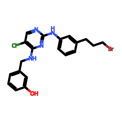 Oc1cccc(CNc2nc(Nc3cccc(CCCBr)c3)ncc2Cl)c1